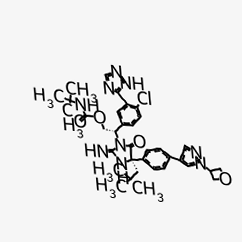 CC(C)(C)C[C@]1(c2ccc(-c3cnn(C4COC4)c3)cc2)NC(=N)N([C@H](COC(=O)NC(C)(C)C)c2ccc(Cl)c(-c3ncn[nH]3)c2)C1=O